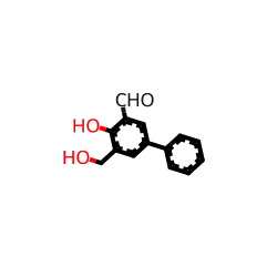 O=Cc1cc(-c2ccccc2)cc(CO)c1O